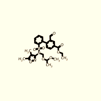 CCOC(=O)c1ccc(-c2ccccc2S(=O)(=O)N(COC(C)OC)c2noc(C)c2C)c(C=O)c1